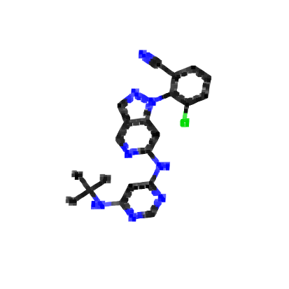 [2H]C([2H])([2H])Nc1cc(Nc2cc3c(cn2)cnn3-c2c(Cl)cccc2C#N)ncn1